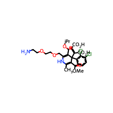 COC(=O)C1=C(C)NC(COCCOCCN)=C(C(=O)OC(C)C)C1(/C(=C/C(=O)O)C(=O)O)c1cccc(Cl)c1Cl